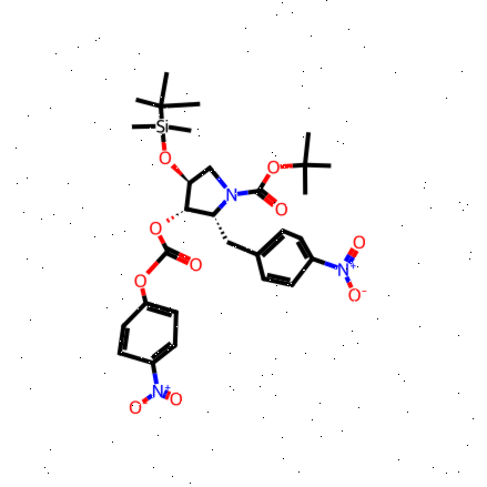 CC(C)(C)OC(=O)N1C[C@H](O[Si](C)(C)C(C)(C)C)[C@@H](OC(=O)Oc2ccc([N+](=O)[O-])cc2)[C@H]1Cc1ccc([N+](=O)[O-])cc1